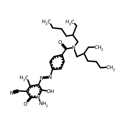 CCCCC(CC)CN(CC(CC)CCCC)C(=O)c1ccc(/N=N/c2c(C)c(C#N)c(=O)n(N)c2O)cc1